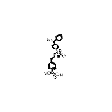 CCS(=O)(=O)N(CCCc1ccc(P(=O)(O)O)cc1)c1ccc(C(O)C2CCCC2)cc1